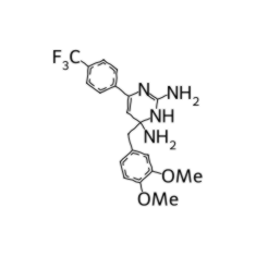 COc1ccc(CC2(N)C=C(c3ccc(C(F)(F)F)cc3)N=C(N)N2)cc1OC